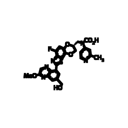 COc1cnc2c(-c3nc4c(F)cc5c(c4s3)OC[C@@H](CN(C(=O)O)c3ccnc(C)c3)O5)cc(CO)cc2n1